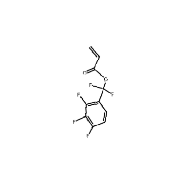 C=CC(=O)OC(F)(F)c1ccc(F)c(F)c1F